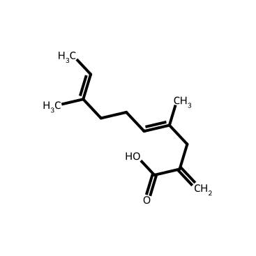 C=C(CC(C)=CCCC(C)=CC)C(=O)O